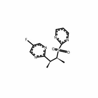 C[C@@H](c1ncc(F)cn1)[C@H](C)S(=O)(=O)c1ncccn1